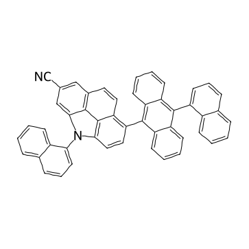 N#Cc1cc2ccc3c(-c4c5ccccc5c(-c5cccc6ccccc56)c5ccccc45)ccc4c3c2c(c1)n4-c1cccc2ccccc12